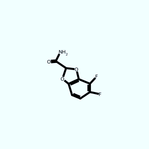 NC(=O)C1Oc2ccc(F)c(F)c2O1